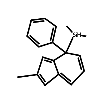 CC1=CC2=CC=CC(c3ccccc3)([SiH](C)C)C2=C1